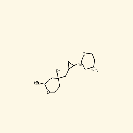 CCC1(CC2CC2[C@H]2C[C@@H](C)CCO2)CCOC(C(C)(C)C)C1